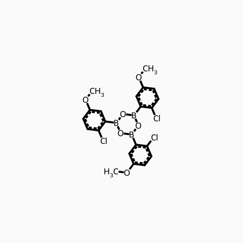 COc1ccc(Cl)c(B2OB(c3cc(OC)ccc3Cl)OB(c3cc(OC)ccc3Cl)O2)c1